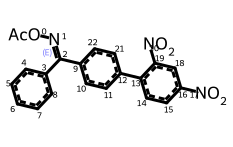 CC(=O)O/N=C(\c1ccccc1)c1ccc(-c2ccc([N+](=O)[O-])cc2[N+](=O)[O-])cc1